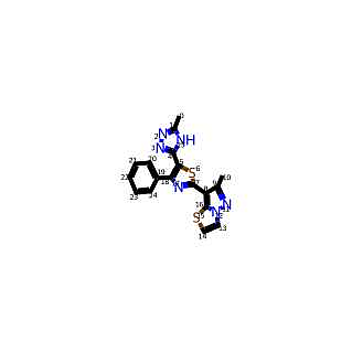 Cc1nnc(-c2sc(-c3c(C)nn4ccsc34)nc2-c2ccccc2)[nH]1